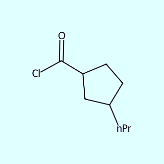 CCCC1CCC(C(=O)Cl)C1